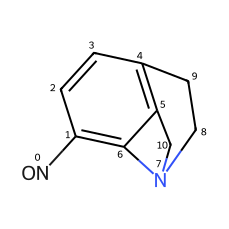 O=Nc1ccc2c3c1N(CC2)C3